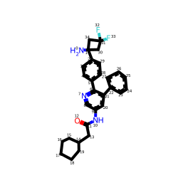 NC1(c2ccc(-c3ncc(NC(=O)CC4CC[CH]CC4)cc3-c3ccccc3)cc2)CC(F)(F)C1